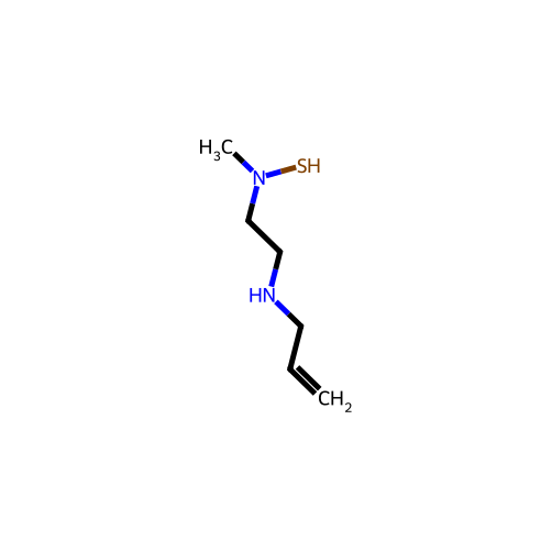 C=CCNCCN(C)S